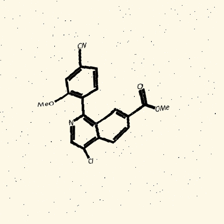 COC(=O)c1ccc2c(Cl)cnc(-c3ccc(C#N)cc3OC)c2c1